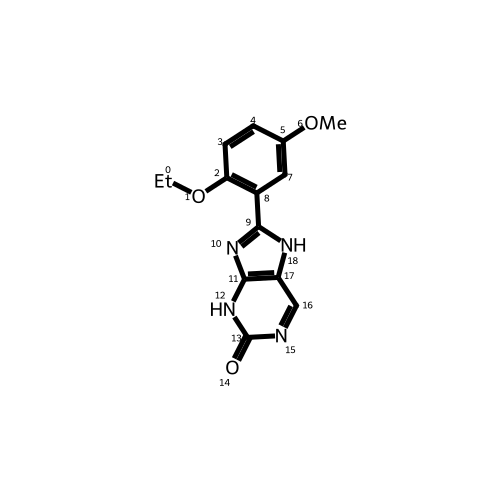 CCOc1ccc(OC)cc1-c1nc2[nH]c(=O)ncc2[nH]1